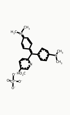 CN(C)c1ccc(C(=C2C=CC(=[N+](C)C)C=C2)c2ccc(C(=O)O)cn2)cc1.[O-][Cl+3]([O-])([O-])[O-]